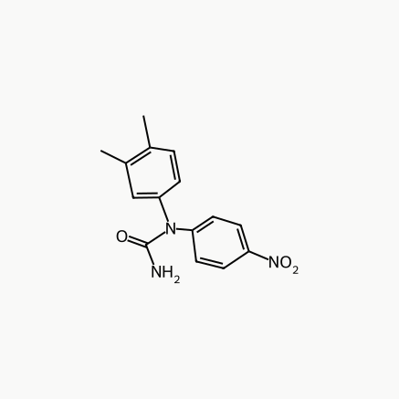 Cc1ccc(N(C(N)=O)c2ccc([N+](=O)[O-])cc2)cc1C